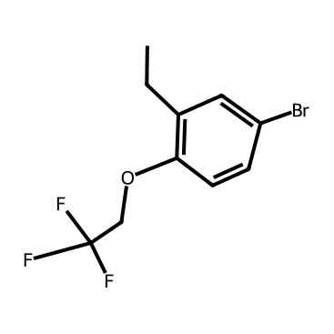 CCc1cc(Br)ccc1OCC(F)(F)F